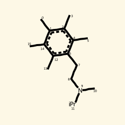 Cc1c(C)c(C)c(CCN(C)C(C)C)c(C)c1C